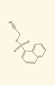 C#CCOS(=O)(=O)c1cccc2ccccc12